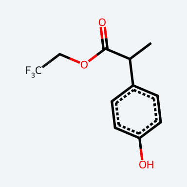 CC(C(=O)OCC(F)(F)F)c1ccc(O)cc1